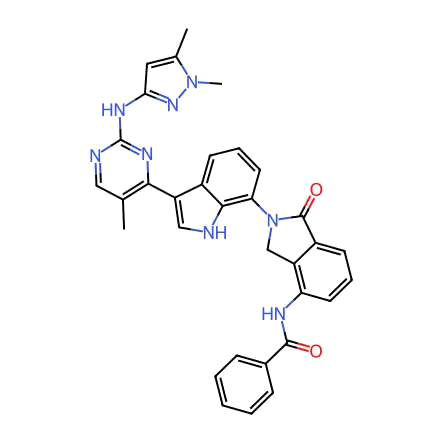 Cc1cnc(Nc2cc(C)n(C)n2)nc1-c1c[nH]c2c(N3Cc4c(NC(=O)c5ccccc5)cccc4C3=O)cccc12